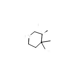 CC1(O)CCNC[C@H]1F.Cl